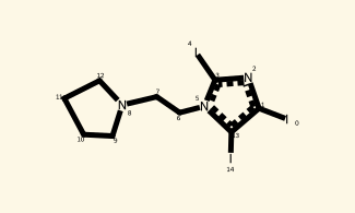 Ic1nc(I)n(CCN2CCCC2)c1I